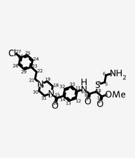 COC(=O)[C@@H](SCCN)C(=O)Nc1ccc(C(=O)N2CCN(CCc3ccc(Cl)cc3)CC2)cc1